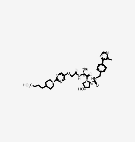 Cc1ncsc1-c1ccc(CNC(=O)[C@@H]2C[C@@H](O)CN2C(=O)[C@@H](NC(=O)COc2cnc(N3CCC(CCCC(=O)O)CC3)nc2)C(C)(C)C)cc1